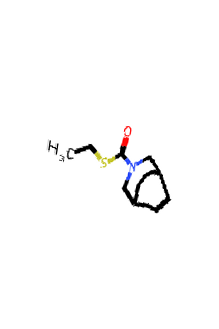 CCSC(=O)N1CC2CCC(CC2)C1